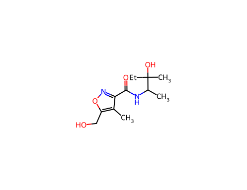 CCC(C)(O)C(C)NC(=O)c1noc(CO)c1C